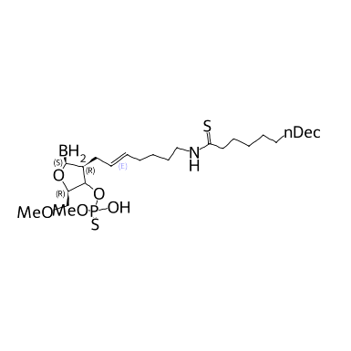 B[C@@H]1O[C@H](COC)C(OP(O)(=S)OC)[C@@H]1C/C=C/CCCCNC(=S)CCCCCCCCCCCCCCC